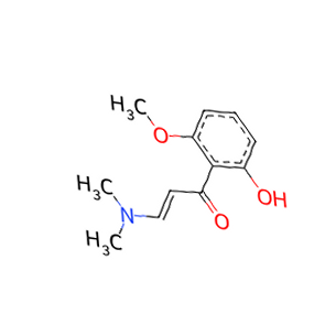 COc1cccc(O)c1C(=O)/C=C/N(C)C